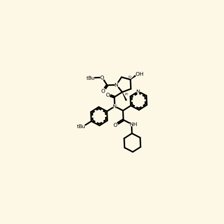 CC(C)(C)OC(=O)N1C[C@@H](O)C[C@]1(C)C(=O)N(c1ccc(C(C)(C)C)cc1)C(C(=O)NC1CCCCC1)c1cccnc1